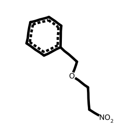 O=[N+]([O-])CCOCc1ccccc1